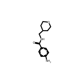 Nc1ccc(C(=O)NCC2CCOCC2)cc1